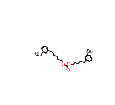 CC(C)(C)c1cccc(CCCCCOC(=O)OCCCCCc2cccc(C(C)(C)C)c2)c1